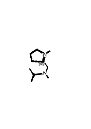 CC(C)N(C)C[C@H]1CCCN1C